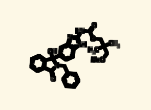 COCC(C)(C)COC(=O)Nc1nc2cc(C3(O)c4ccccc4C(=O)N3Cc3ccccc3)ccc2[nH]1